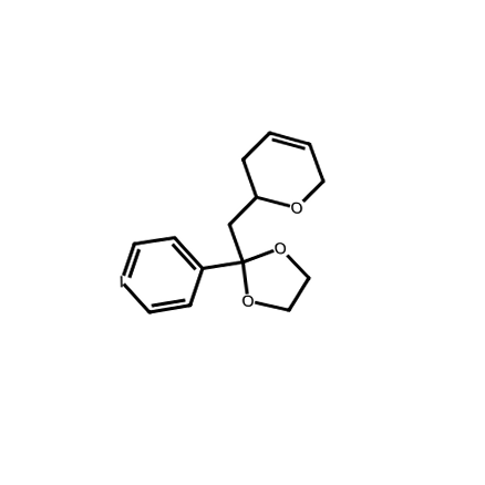 C1=CCC(CC2(C3=CC=IC=C3)OCCO2)OC1